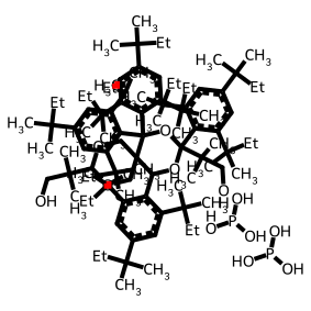 CCC(C)(C)c1cc(C(C)(C)CC)c(C2OC(c3c(C(C)(C)CC)cc(C(C)(C)CC)cc3C(C)(C)CC)(C(C)(C)CO)OC(c3c(C(C)(C)CC)cc(C(C)(C)CC)cc3C(C)(C)CC)(c3c(C(C)(C)CC)cc(C(C)(C)CC)cc3C(C)(C)CC)C23COC(C(C)(C)CO)OC3)c(C(C)(C)CC)c1.OP(O)O.OP(O)O